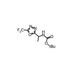 CC(NC(=O)OC(C)(C)C)c1nnc(C(F)(F)F)o1